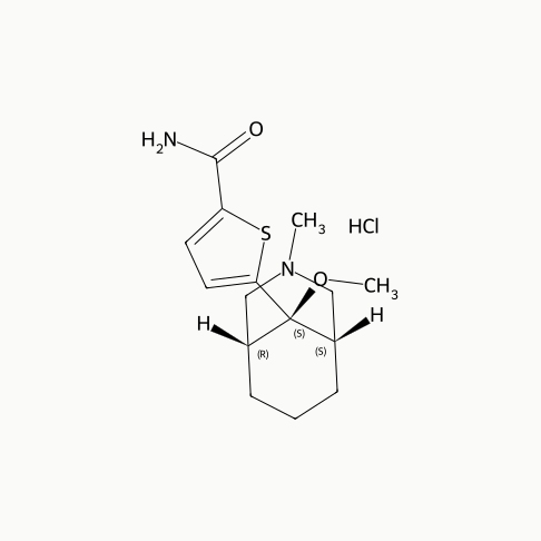 CO[C@]1(c2ccc(C(N)=O)s2)[C@@H]2CCC[C@H]1CN(C)C2.Cl